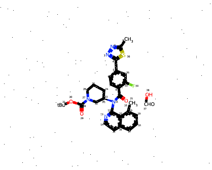 Cc1nnc(-c2ccc(C(=O)N(c3nccc4cccc(C)c34)[C@@H]3CCCN(C(=O)OC(C)(C)C)C3)c(F)c2)s1.O=CO